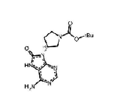 CC(C)(C)OC(=O)N1CC[C@@H](n2c(=O)[nH]c3c(N)ncnc32)C1